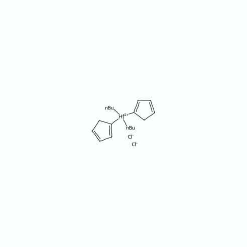 CCC[CH2][Hf+2]([CH2]CCC)([C]1=CC=CC1)[C]1=CC=CC1.[Cl-].[Cl-]